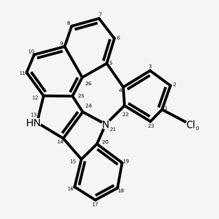 Clc1ccc2c3cccc4ccc5[nH]c6c7ccccc7n(c2c1)c6c5c43